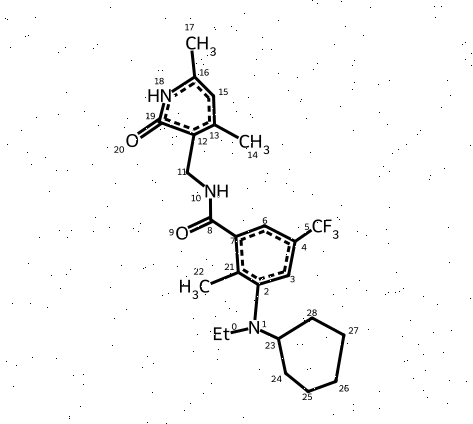 CCN(c1cc(C(F)(F)F)cc(C(=O)NCc2c(C)cc(C)[nH]c2=O)c1C)C1CCCCC1